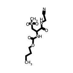 CCCCOC(=O)NC(CS(C)(=O)=O)C(=O)NCC#N